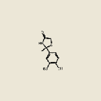 CC(C)(C)c1cc(C2(C)NC(=O)CS2)ccc1O